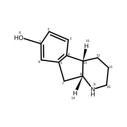 Oc1ccc2c(c1)C[C@H]1NCCC[C@@H]21